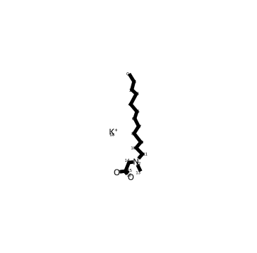 CCCCCCCCCCCCN(C)CC(=O)[O-].[K+]